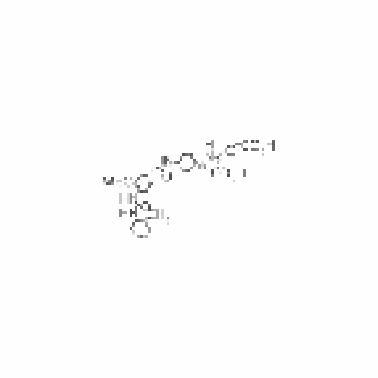 COc1cc(CC(=O)Nc2ccc([C@@H](CC(=O)O)NC(=O)COCC(=O)O)cc2)ccc1NC(=O)Nc1ccccc1C